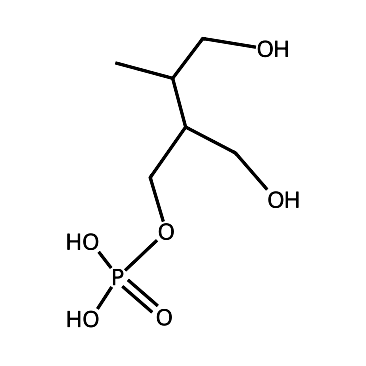 CC(CO)C(CO)COP(=O)(O)O